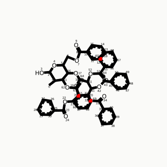 CC1C(O)OC(COC(=O)c2ccccc2)C(OC2OC(COC(=O)c3ccccc3)C(OC(=O)c3ccccc3)C(OC(=O)c3ccccc3)C2OC(=O)c2ccccc2)C1OC(=O)c1ccccc1